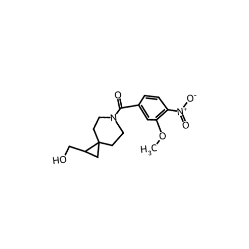 COc1cc(C(=O)N2CCC3(CC2)CC3CO)ccc1[N+](=O)[O-]